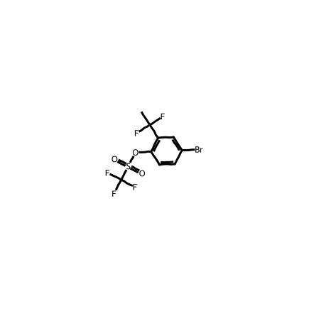 CC(F)(F)c1cc(Br)ccc1OS(=O)(=O)C(F)(F)F